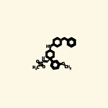 COc1cccc([C@]2(CNS(C)(=O)=O)CC[C@H](NC3CCN(Cc4ccccc4)CC3)CC2)c1